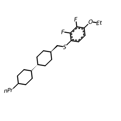 CCCC1CCC([C@H]2CC[C@H](CSc3ccc(OCC)c(F)c3F)CC2)CC1